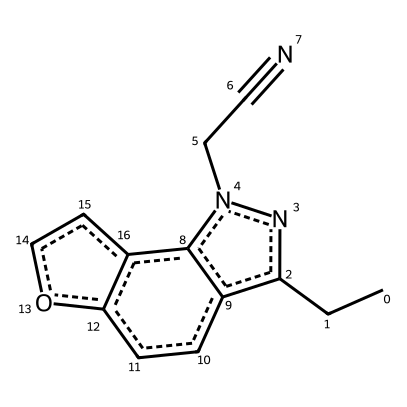 CCc1nn(CC#N)c2c1ccc1occc12